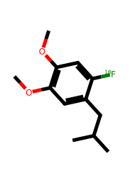 COc1cc([18F])c(CC(C)C)cc1OC